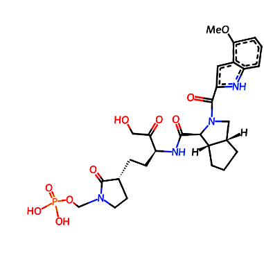 COc1cccc2[nH]c(C(=O)N3C[C@@H]4CCC[C@@H]4[C@H]3C(=O)N[C@@H](CC[C@@H]3CCN(COP(=O)(O)O)C3=O)C(=O)CO)cc12